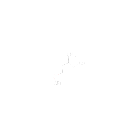 [CH2]CCOCCC(C)CC(C)(C)C